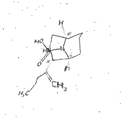 C=C(CC)[C@@H]1NC[C@H]2CC[C@@H]1N2C(=O)O